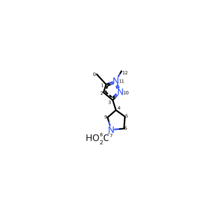 Cc1cc(C2CCN(C(=O)O)C2)nn1C